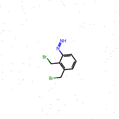 N=Nc1cccc(CBr)c1CBr